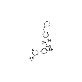 Nc1cncc(-c2ccc3[nH]nc(C(=O)Nc4ccc(CN5CCCCC5)nc4)c3c2)c1